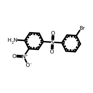 Nc1ccc(S(=O)(=O)c2cccc(Br)c2)cc1[N+](=O)[O-]